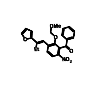 CC/C(=C\c1ccc([N+](=O)[O-])c(C(=O)c2ccccc2)c1OCOC)c1ccco1